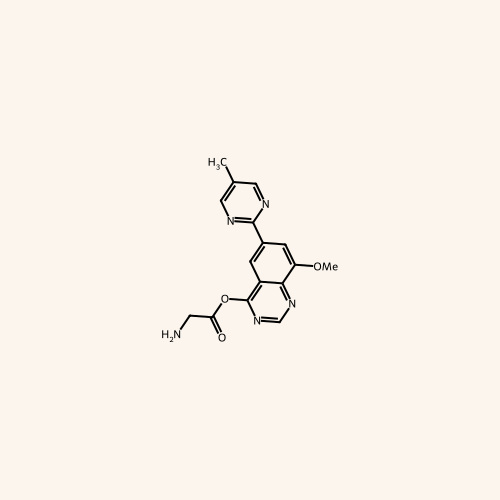 COc1cc(-c2ncc(C)cn2)cc2c(OC(=O)CN)ncnc12